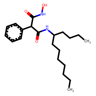 CCCCCCCC(CCCC)NC(=O)C(C(=O)NO)c1ccccc1